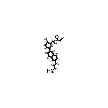 C=CC(=O)OCc1cc(-c2ccc3cc(CCCO)ccc3c2)ccc1C